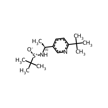 C[C@H](N[S+]([O-])C(C)(C)C)c1ccc(C(C)(C)C)nc1